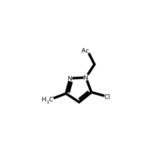 CC(=O)Cn1nc(C)cc1Cl